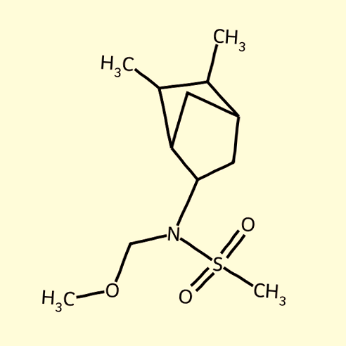 COCN(C1CC2CC1C(C)C2C)S(C)(=O)=O